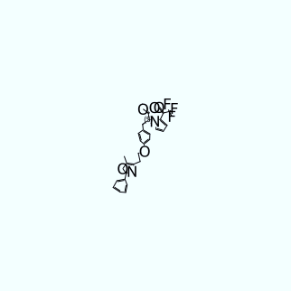 COC(=O)[C@H](Cc1ccc(OCCc2nc(-c3ccccc3)oc2C)cc1)n1cccc1C(=O)C(F)(F)F